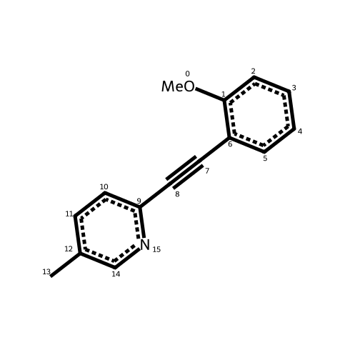 COc1ccccc1C#Cc1ccc(C)cn1